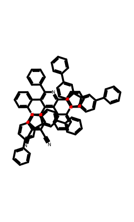 N#Cc1ccc(-c2c(-c3ccccc3-n3c4ccc(-c5ccccc5)cc4c4cc(-c5ccccc5)ccc43)c(-c3ccccc3)nc(-c3ccccc3)c2-c2ccccc2-n2c3ccc(-c4ccccc4)cc3c3cc(-c4ccccc4)ccc32)cc1C#N